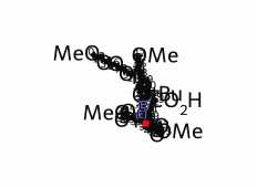 COCCOCCOCCOCCN(CCCSOC)c1ccc2c(c1)OC(/C=C/C=C1/N(CCCS(=O)(=O)OC)c3ccc(S(=O)(=O)OC)cc3C1(C)CCCC(=O)O)C=C2C(C)(C)C